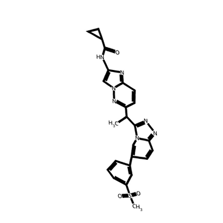 CC(c1ccc2nc(NC(=O)C3CC3)cn2n1)c1nnc2ccc(-c3cccc(S(C)(=O)=O)c3)cn12